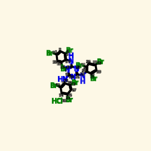 Brc1cc(Br)c(Nc2nc(Nc3c(Br)cc(Br)cc3Br)nc(Nc3c(Br)cc(Br)cc3Br)n2)c(Br)c1.Cl